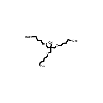 CCCCCCCCCCCCCCOCC(CO)(COCCCCCCCCCCCCCC)COCCCCCCCCCCCCCC